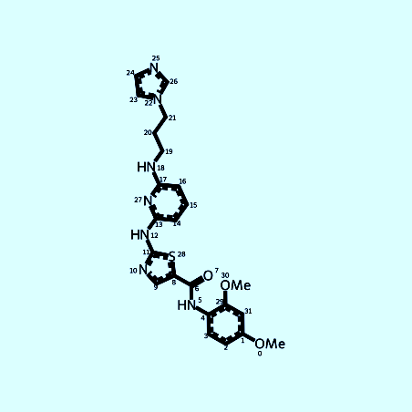 COc1ccc(NC(=O)c2cnc(Nc3cccc(NCCCn4ccnc4)n3)s2)c(OC)c1